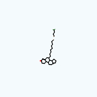 C[C@H]1CCC2C3C(CCCCCCCCCSCCCC(F)F)CC4=CC(=O)CCC4C3CC[C@@]21C